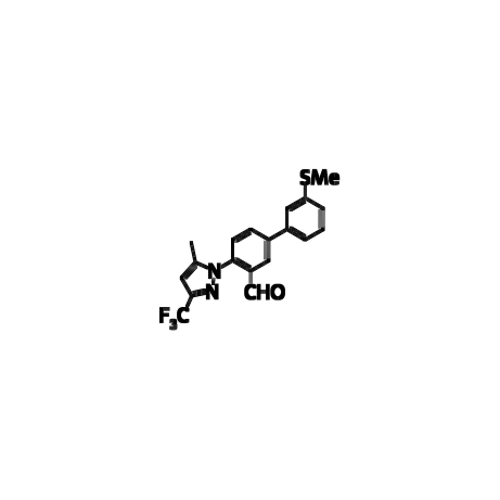 CSc1cccc(-c2ccc(-n3nc(C(F)(F)F)cc3C)c(C=O)c2)c1